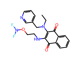 CCN(Cc1cccnc1)C1=C(NCCON(F)F)C(=O)c2ccccc2C1=O